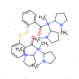 CN1CCCC1[N+](C)(C(=O)c1ccccc1SSc1ccccc1C(=O)[N+](C)(C1CCCN1C)C1CCCN1C)C1CCCN1C